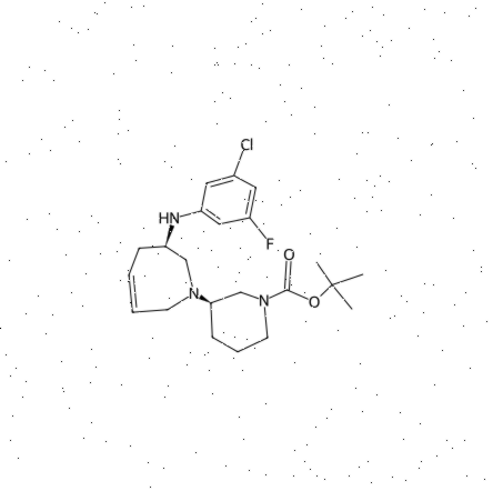 CC(C)(C)OC(=O)N1CCC[C@@H](N2CC=CC[C@@H](Nc3cc(F)cc(Cl)c3)C2)C1